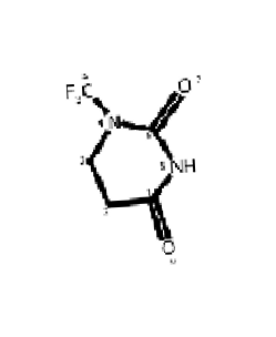 O=C1CCN(C(F)(F)F)C(=O)N1